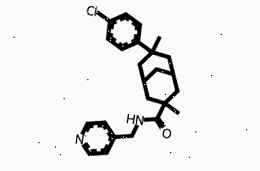 CC1(C(=O)NCc2ccncc2)CC2CC(C1)CC(C)(c1ccc(Cl)cc1)C2